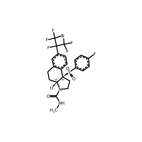 CNC(=O)N1CC[C@@]2(S(=O)(=O)c3ccc(F)cc3)c3ccc(C(F)(C(F)(F)F)C(F)(F)F)cc3CC[C@@H]12